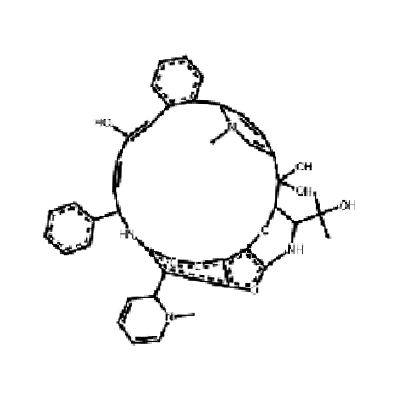 CN1C=C2C=CC1c1ccccc1/C=C(O)/C=C\C(c1ccccc1)Nc1ccc3c4c(oc3c1C1C=CC=CN1C)NC(C(C)(C)O)C(C4)C2(O)O